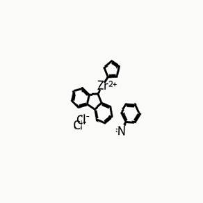 C1=CC[C]([Zr+2][CH]2c3ccccc3-c3ccccc32)=C1.[Cl-].[Cl-].[N]c1ccccc1